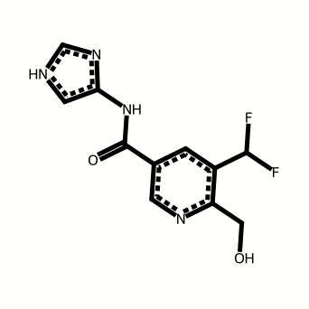 O=C(Nc1c[nH]cn1)c1cnc(CO)c(C(F)F)c1